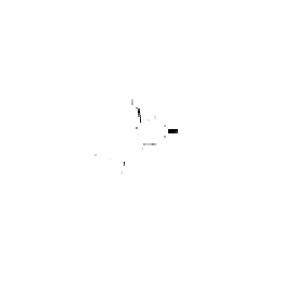 CC[Si](CC)(CC)OC1CC(=O)OC(=O)C1